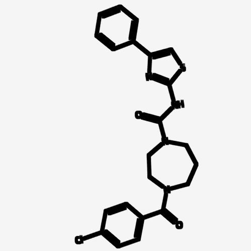 O=C(Nc1nc(-c2ccccc2)cs1)N1CCCN(C(=O)c2ccc(Cl)cc2)CC1